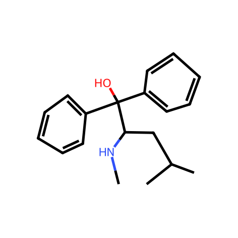 CNC(CC(C)C)C(O)(c1ccccc1)c1ccccc1